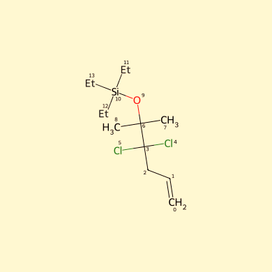 C=CCC(Cl)(Cl)C(C)(C)O[Si](CC)(CC)CC